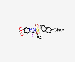 COc1ccc2cc(S(=O)(=O)NC(I)(CC(C)=O)c3ccc4c(c3)OCO4)ccc2c1